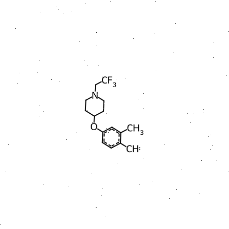 [CH]c1ccc(OC2CCN(CC(F)(F)F)CC2)cc1C